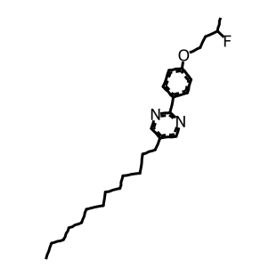 CCCCCCCCCCCCCc1cnc(-c2ccc(OCCC(C)F)cc2)nc1